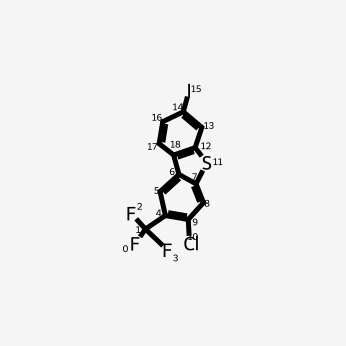 FC(F)(F)c1cc2c(cc1Cl)sc1cc(I)ccc12